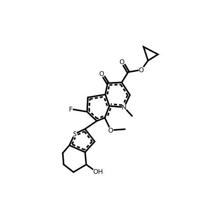 COc1c(-c2cc3c(s2)CCCC3O)c(F)cc2c(=O)c(C(=O)OC3CC3)cn(C)c12